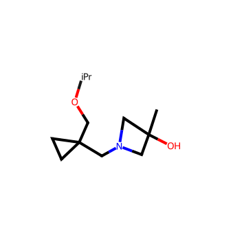 CC(C)OCC1(CN2CC(C)(O)C2)CC1